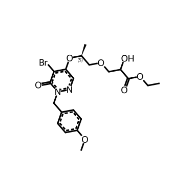 CCOC(=O)C(O)COC[C@H](C)Oc1cnn(Cc2ccc(OC)cc2)c(=O)c1Br